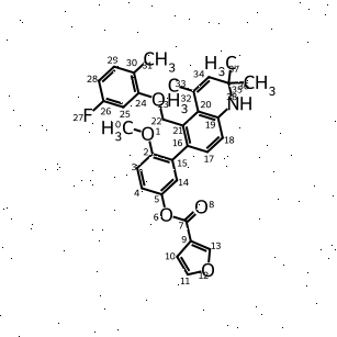 COc1ccc(OC(=O)c2ccoc2)cc1-c1ccc2c(c1COc1cc(F)ccc1C)C(C)=CC(C)(C)N2